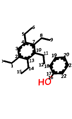 CCc1cc(CC)c(CC)c(CC)c1CC.Oc1ccccc1